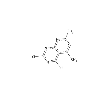 Cc1cc(C)c2c(Cl)nc(Cl)nc2n1